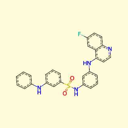 O=S(=O)(Nc1cccc(Nc2ccnc3ccc(F)cc23)c1)c1cccc(Nc2ccccc2)c1